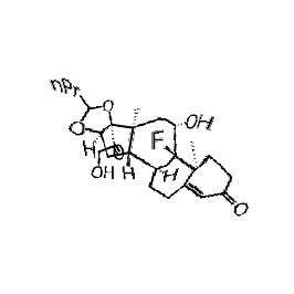 CCCC1O[C@@H]2C[C@H]3[C@@H]4CCC5=CC(=O)CC[C@]5(C)[C@@]4(F)[C@@H](O)C[C@]3(C)[C@]2(C(=O)CO)O1